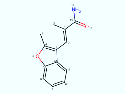 CC(=Cc1c(C)oc2ccccc12)C(N)=O